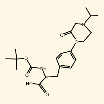 CC(C)N1CCN(c2ccc(CC(NC(=O)OC(C)(C)C)C(=O)O)cc2)C(=O)C1